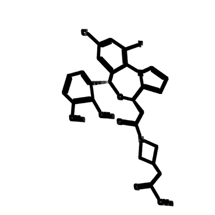 COC(=O)CC1CN(C(=O)C[C@H]2O[C@H](c3cccc(OC)c3OC)c3cc(Cl)cc(F)c3-n3cccc32)C1